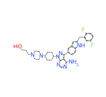 Nc1ncnc2c1c(-c1ccc3[nH]c(Cc4cc(F)ccc4F)cc3c1)nn2C1CCC(N2CCN(CCCO)CC2)CC1